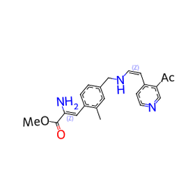 COC(=O)/C(N)=C/c1ccc(CN/C=C\c2ccncc2C(C)=O)cc1C